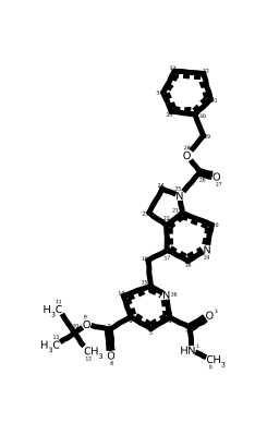 CNC(=O)c1cc(C(=O)OC(C)(C)C)cc(Cc2cncc3c2CCN3C(=O)OCc2ccccc2)n1